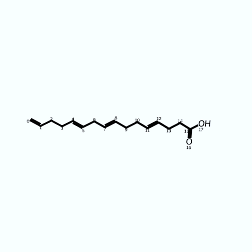 C=CCC/C=C/C/C=C/CC/C=C/CCC(=O)O